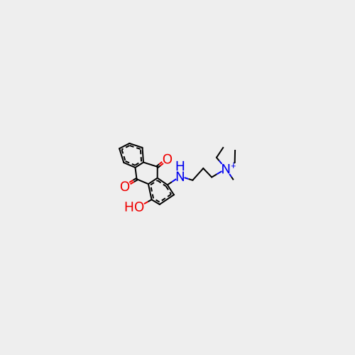 CC[N+](C)(CC)CCCNc1ccc(O)c2c1C(=O)c1ccccc1C2=O